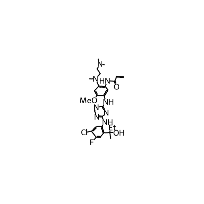 C=CC(=O)Nc1cc(Nc2ncnc(Nc3cc(Cl)c(F)cc3C(C)(O)CC)n2)c(OC)cc1N(C)CCN(C)C